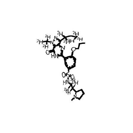 [2H]C([2H])([2H])CC([2H])([2H])c1nn(C([2H])([2H])[2H])c2c(=O)[nH]c(-c3cc(S(=O)(=O)NC([2H])([2H])C([2H])([2H])C4CCCN4C)ccc3OCCC)nc12